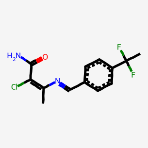 CC(/N=C/c1ccc(C(C)(F)F)cc1)=C(\Cl)C(N)=O